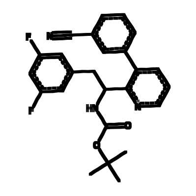 CC(C)(C)OC(=O)NC(Cc1cc(F)cc(F)c1)c1ncccc1-c1cccc(C#N)c1